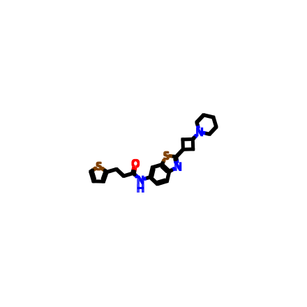 O=C(CCc1cccs1)Nc1ccc2nc(C3CC(N4CCCCC4)C3)sc2c1